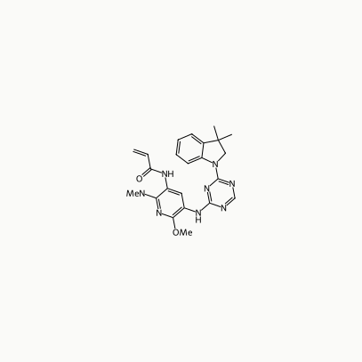 C=CC(=O)Nc1cc(Nc2ncnc(N3CC(C)(C)c4ccccc43)n2)c(OC)nc1NC